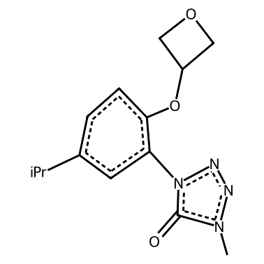 CC(C)c1ccc(OC2COC2)c(-n2nnn(C)c2=O)c1